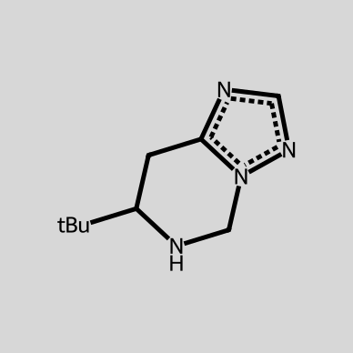 CC(C)(C)C1Cc2ncnn2CN1